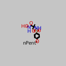 CCCCCOc1ccc(S(=O)(=O)NC(C)(C)C(=O)NO)cc1